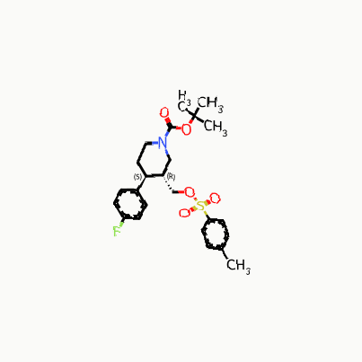 Cc1ccc(S(=O)(=O)OC[C@H]2CN(C(=O)OC(C)(C)C)CC[C@@H]2c2ccc(F)cc2)cc1